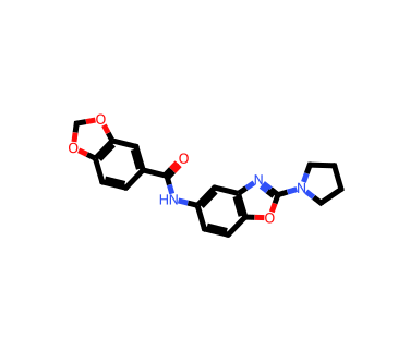 O=C(Nc1ccc2oc(N3CCCC3)nc2c1)c1ccc2c(c1)OCO2